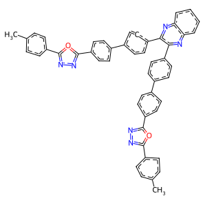 Cc1ccc(-c2nnc(-c3ccc(-c4ccc(-c5nc6ccccc6nc5-c5ccc(-c6ccc(-c7nnc(-c8ccc(C)cc8)o7)cc6)cc5)cc4)cc3)o2)cc1